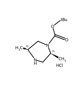 C[C@H]1CN(C(=O)OC(C)(C)C)[C@@H](C)CN1.Cl